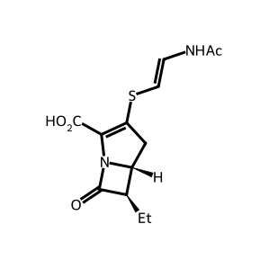 CC[C@H]1C(=O)N2C(C(=O)O)=C(S/C=C/NC(C)=O)C[C@H]12